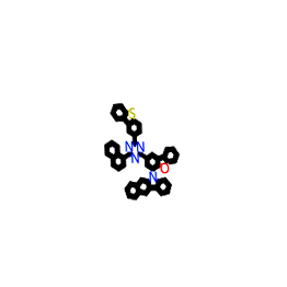 c1ccc2cc3c(cc2c1)c1ccccc1n3-c1cc(-c2nc(-c3ccc4sc5ccccc5c4c3)nc(-c3cccc4ccccc34)n2)cc2c1oc1ccccc12